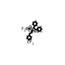 O=C(OC1(CCc2ccc(C(F)(F)F)cc2)NC(c2ccccc2)C(c2ccccc2)N1)C(F)(F)F